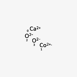 [Ca+2].[Co+2].[O-2].[O-2]